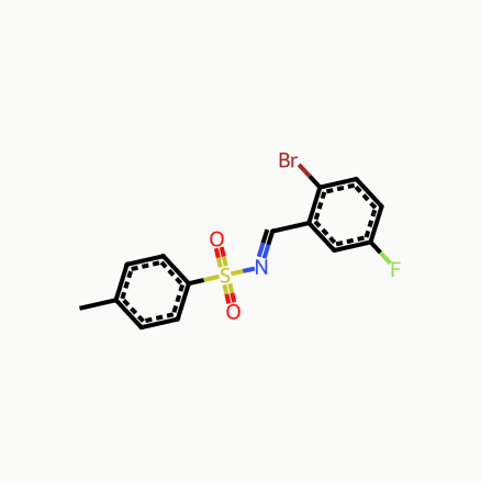 Cc1ccc(S(=O)(=O)N=Cc2cc(F)ccc2Br)cc1